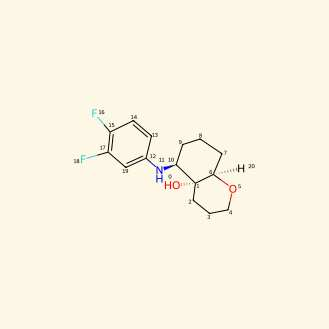 O[C@@]12CCCO[C@@H]1CCC[C@@H]2Nc1ccc(F)c(F)c1